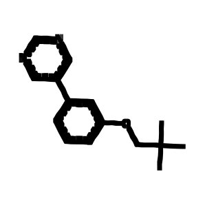 CC(C)(C)COc1cccc(-c2cncnc2)c1